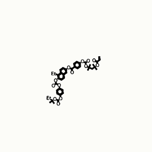 C=CC(=O)OC(C)(C)CC(C)(C)OC(=O)Oc1ccc(C(=O)Oc2ccc3c(CC)c(OC(=O)Oc4ccc(OC(=O)OC(C)(C)CC)cc4)ccc3c2)cc1